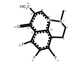 CN1CCc2c(F)c(F)c(F)c3c(=O)c(C(=O)O)cn1c23